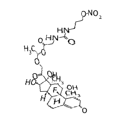 CC(OCC(=O)[C@@]1(O)[C@H](O)C[C@H]2[C@@H]3CCC4=CC(=O)C=C[C@]4(C)[C@@]3(F)[C@@H](O)C[C@@]21C)OC(=O)CNC(=O)NCCCO[N+](=O)[O-]